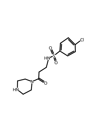 O=C(CCNS(=O)(=O)c1ccc(Cl)cc1)N1CCNCC1